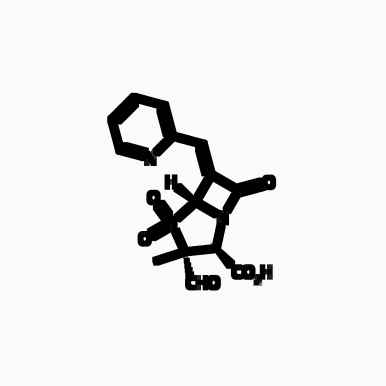 C[C@]1(C=O)[C@H](C(=O)O)N2C(=O)/C(=C/c3ccccn3)[C@H]2S1(=O)=O